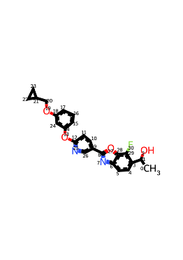 CC(O)c1ccc2nc(-c3ccc(Oc4cccc(OCC5CC5)c4)nc3)oc2c1F